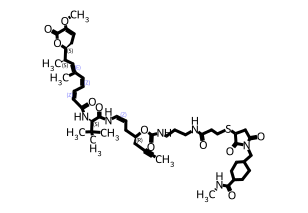 CC#CC[C@@H](C/C=C\NC(=O)[C@@H](NC(=O)\C=C/C=C\C(C)=C\[C@H](C)[C@@H]1CC=C(OC)C(=O)O1)C(C)(C)C)OC(=O)NCCCNC(=O)CCSC1CC(=O)N(CC2CCC(C(=O)NC)CC2)C1=O